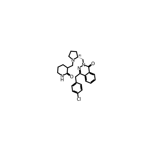 O=C1NCCCC1CN1CCC[C@@H]1Cn1nc(Cc2ccc(Cl)cc2)c2ccccc2c1=O